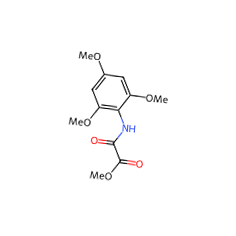 COC(=O)C(=O)Nc1c(OC)cc(OC)cc1OC